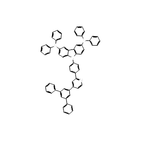 c1ccc(-c2cc(-c3ccccc3)cc(-c3ccnc(-c4ccc(-n5c6ccc(N(c7ccccc7)c7ccccc7)cc6c6cc(N(c7ccccc7)c7ccccc7)ccc65)cc4)c3)c2)cc1